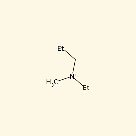 CCC[N+](C)CC